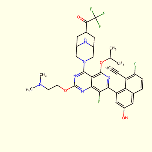 C#Cc1c(F)ccc2cc(O)cc(-c3nc(OC(C)C)c4c(N5CC6CC(C(=O)C(F)(F)F)CC(C5)N6)nc(OCCN(C)C)nc4c3F)c12